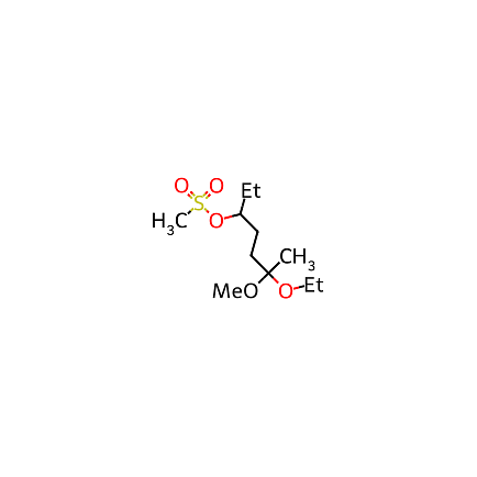 CCOC(C)(CCC(CC)OS(C)(=O)=O)OC